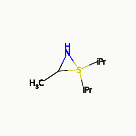 CC(C)S1(C(C)C)NC1C